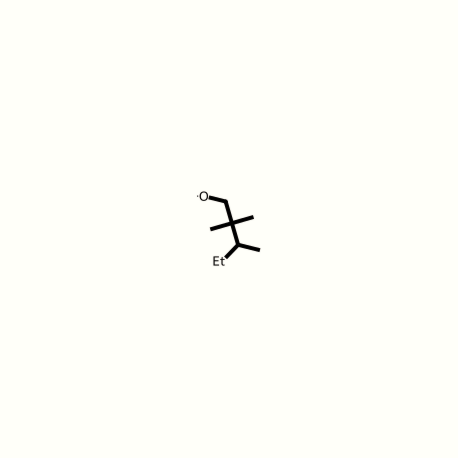 CCC(C)C(C)(C)C[O]